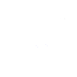 COc1ccc(-c2c[n+](-c3ccc(C)cc3)c3n2CCS3)cc1